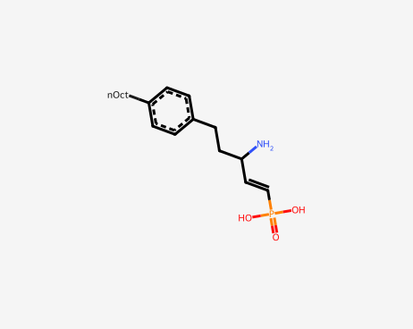 CCCCCCCCc1ccc(CCC(N)/C=C/P(=O)(O)O)cc1